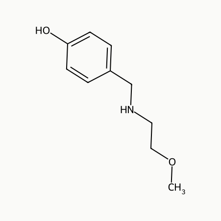 COCCNCc1ccc(O)cc1